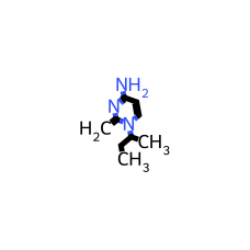 C=C1N=C(N)C=CN1C(C)CC